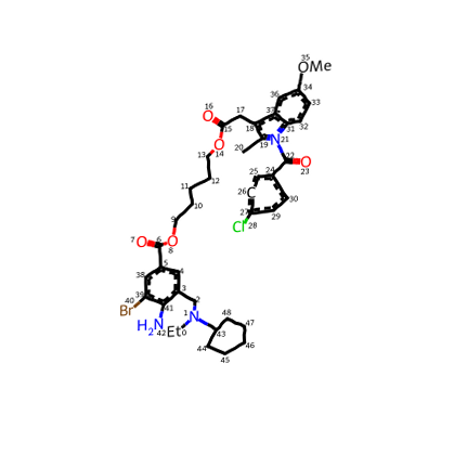 CCN(Cc1cc(C(=O)OCCCCCOC(=O)Cc2c(C)n(C(=O)c3ccc(Cl)cc3)c3ccc(OC)cc23)cc(Br)c1N)C1CCCCC1